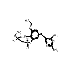 CCOc1cc(Cc2cnc(N)nc2N)cc(OS(=O)(=O)CC(C)(C)OC)c1I